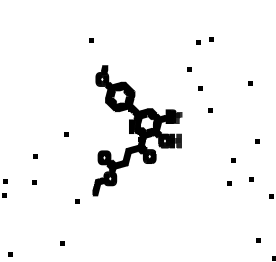 CCOC(=O)CCC(=O)c1nc(-c2ccc(OC)cc2)cc(Br)c1O